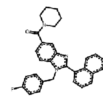 O=C(c1ccc2c(c1)nc(-c1cccc3ccccc13)n2Cc1ccc(F)cc1)N1CCCCC1